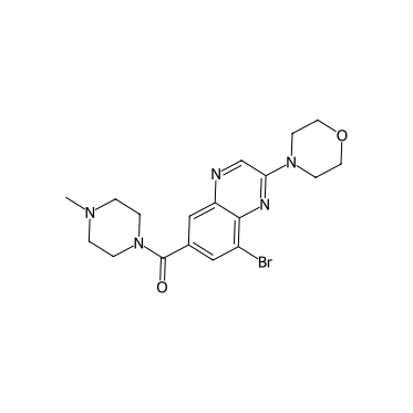 CN1CCN(C(=O)c2cc(Br)c3nc(N4CCOCC4)cnc3c2)CC1